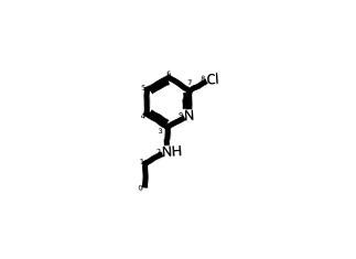 CCNc1cccc(Cl)n1